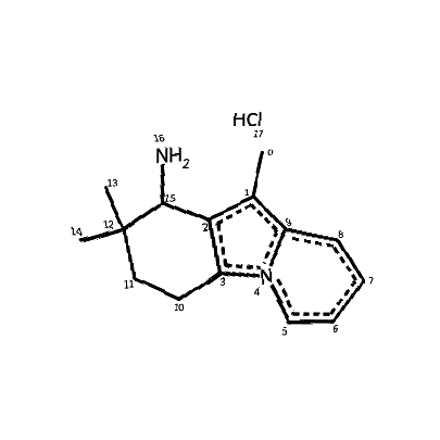 Cc1c2c(n3ccccc13)CCC(C)(C)C2N.Cl